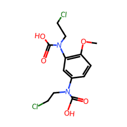 COc1ccc(N(CCCl)C(=O)O)cc1N(CCCl)C(=O)O